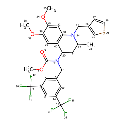 COC(=O)N(Cc1cc(C(F)(F)F)cc(C(F)(F)F)c1)C1CC(C)N(Cc2ccsc2)c2cc(OC)c(OC)cc21